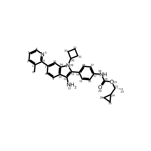 Cc1cccnc1-c1ccc2c(N)c(-c3ccc(NC(=O)O[C@H](C)C4CC4)cc3)n(C3CCC3)c2c1